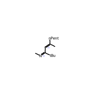 CCCCC/C(C)=C/C(=N\C)C(C)(C)C